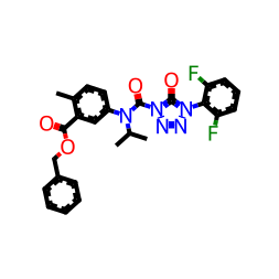 Cc1ccc(N(C(=O)n2nnn(-c3c(F)cccc3F)c2=O)C(C)C)cc1C(=O)OCc1ccccc1